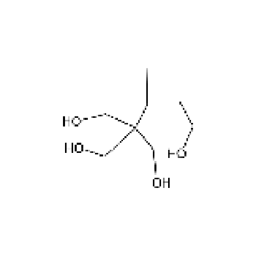 CCC(CO)(CO)CO.CCO